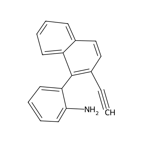 C#Cc1ccc2ccccc2c1-c1ccccc1N